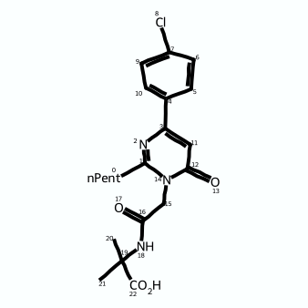 CCCCCc1nc(-c2ccc(Cl)cc2)cc(=O)n1CC(=O)NC(C)(C)C(=O)O